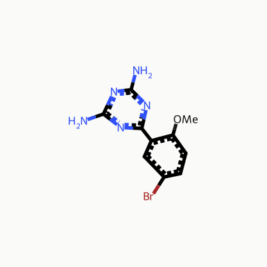 COc1ccc(Br)cc1-c1nc(N)nc(N)n1